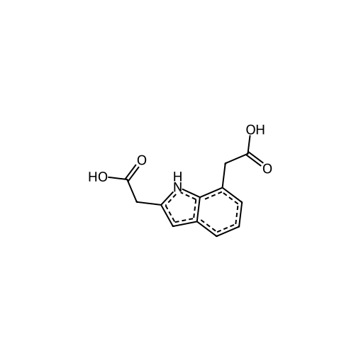 O=C(O)Cc1cc2cccc(CC(=O)O)c2[nH]1